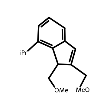 COCC1=Cc2cccc(C(C)C)c2C1COC